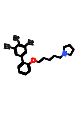 CCc1cc(-c2ccccc2OCCCCCN2CCCC2)cc(CC)c1CC